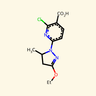 CCOC1=NN(c2ccc(C(=O)O)c(Cl)n2)C(C)C1